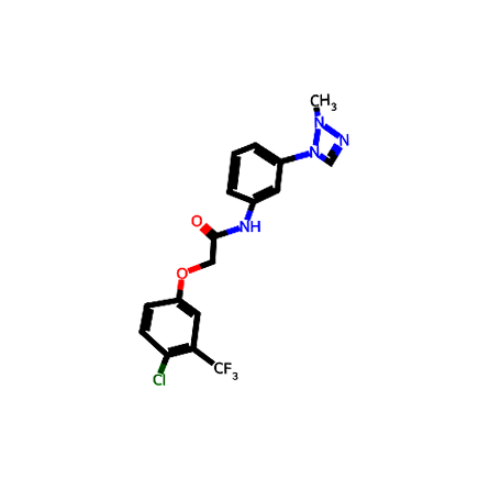 Cn1ncn1-c1cccc(NC(=O)COc2ccc(Cl)c(C(F)(F)F)c2)c1